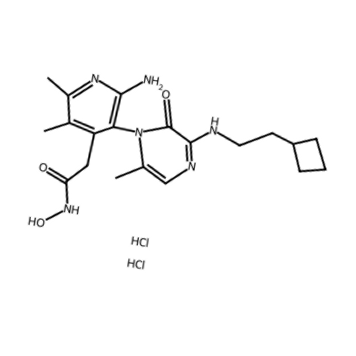 Cc1nc(N)c(-n2c(C)cnc(NCCC3CCC3)c2=O)c(CC(=O)NO)c1C.Cl.Cl